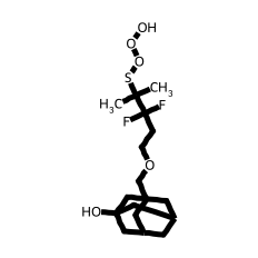 CC(C)(SOOO)C(F)(F)CCOCC12CC3CC(CC(O)(C3)C1)C2